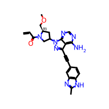 C=CC(=O)N1CC(n2nc(C#Cc3ccc4[nH]c(C)nc4c3)c3c(N)ncnc32)C[C@@H]1COC